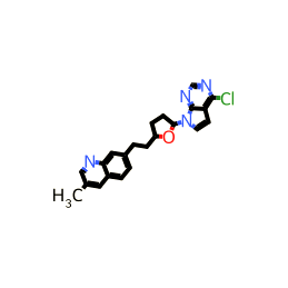 Cc1cnc2cc(CCC3CCC(n4ccc5c(Cl)ncnc54)O3)ccc2c1